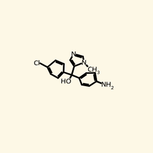 Cn1cncc1C(O)(c1ccc(N)cc1)c1ccc(Cl)cc1